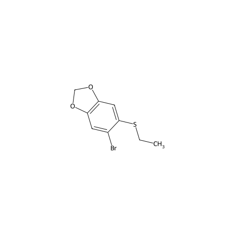 CCSc1cc2c(cc1Br)OCO2